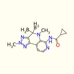 BC1(B)c2nn(C)nc2-c2ccnc(NC(=O)C3CC3)c2N1C